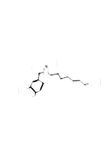 CCCCCCCCN(C)C(=O)c1ccc(F)c(O)c1